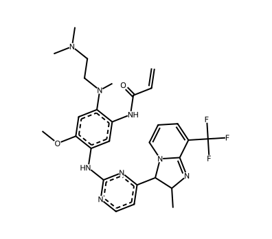 C=CC(=O)Nc1cc(Nc2nccc(C3C(C)N=C4C(C(F)(F)F)=CC=CN43)n2)c(OC)cc1N(C)CCN(C)C